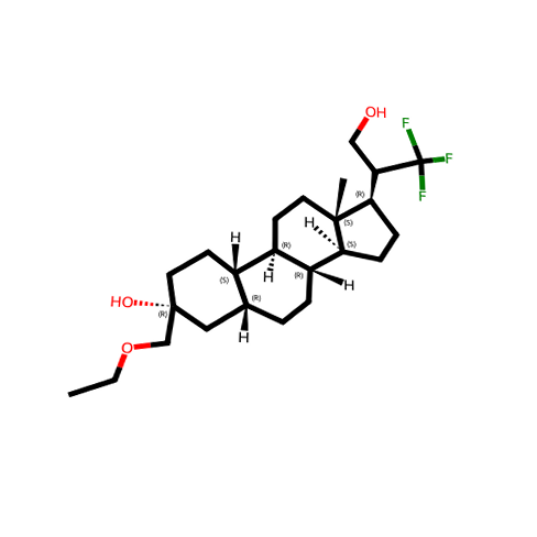 CCOC[C@@]1(O)CC[C@H]2[C@H](CC[C@@H]3[C@@H]2CC[C@]2(C)[C@@H](C(CO)C(F)(F)F)CC[C@@H]32)C1